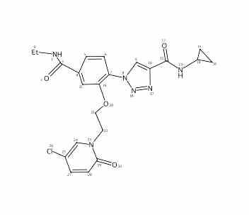 CCNC(=O)c1ccc(-n2cc(C(=O)NC3CC3)nn2)c(OCCn2cc(Cl)ccc2=O)c1